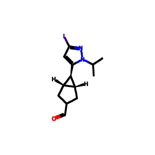 CC(C)n1nc(I)cc1[C@H]1[C@@H]2CC(C=O)C[C@@H]21